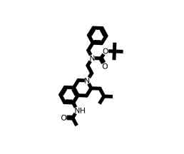 CC(=O)Nc1cccc2c1CC(CC(C)C)N(CCN(Cc1ccccc1)C(=O)OC(C)(C)C)C2